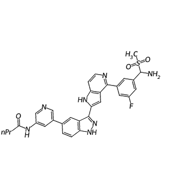 CCCC(=O)Nc1cncc(-c2ccc3[nH]nc(-c4cc5c(-c6cc(F)cc(C(N)S(C)(=O)=O)c6)nccc5[nH]4)c3c2)c1